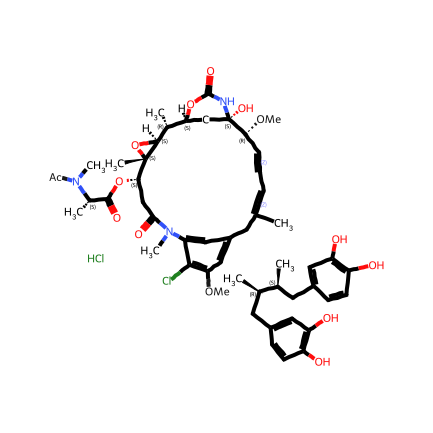 COc1cc2cc(c1Cl)N(C)C(=O)C[C@H](OC(=O)[C@H](C)N(C)C(C)=O)[C@]1(C)O[C@H]1[C@H](C)[C@@H]1C[C@@](O)(NC(=O)O1)[C@H](OC)/C=C\C=C(\C)C2.C[C@H](Cc1ccc(O)c(O)c1)[C@@H](C)Cc1ccc(O)c(O)c1.Cl